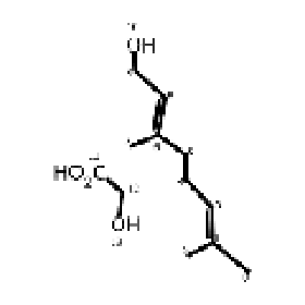 CC(C)=CCC/C(C)=C/CO.O=C(O)CO